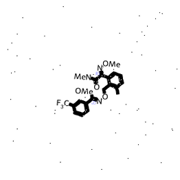 CNC(=O)/C(=N/OC)c1cccc(C)c1CO/N=C(\OC)c1cccc(C(F)(F)F)c1